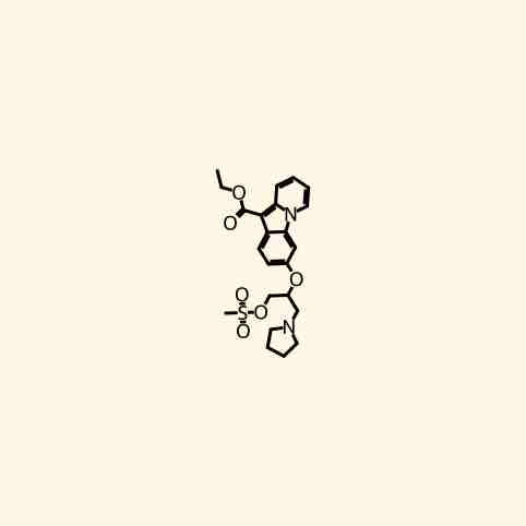 CCOC(=O)c1c2ccc(OC(COS(C)(=O)=O)CN3CCCC3)cc2n2ccccc12